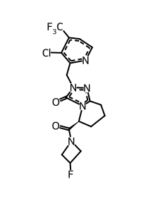 O=C([C@@H]1CCCc2nn(Cc3nccc(C(F)(F)F)c3Cl)c(=O)n21)N1CC(F)C1